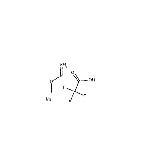 O=C(O)C(F)(F)F.[BH2-]=NOC.[Na+]